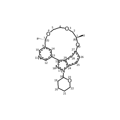 C[C@@H]1COCCO[C@@H](C)c2cncc(c2)-c2nn(C3CCCCO3)c3ccc(cc23)O1